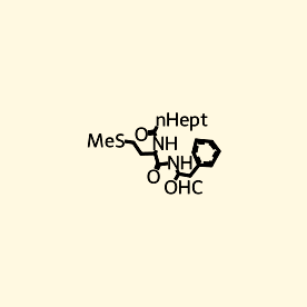 CCCCCCCC(=O)NC(CCSC)C(=O)NC(C=O)Cc1ccccc1